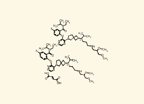 CCN(C(=O)c1cc(F)ccc1Oc1nncnc1N1CCC2(C1)CN([C@H](CCCNCC(COC)OC)C(C)C)C2)C(C)C.CCN(C(=O)c1cc(F)ccc1Oc1nncnc1N1CCC2(C1)CN([C@H](CCCNCC(COC)OC)C(C)C)C2)C(C)C.O=C(O)/C=C/C(=O)O